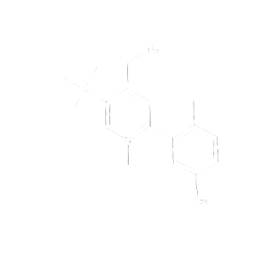 Cc1ccc(C(C)(C)C)cc1-c1cc(CC(C)(C)C)c([Si](C)(C)C)c[n+]1C